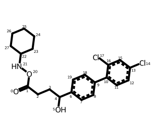 O=C(CCC(O)c1ccc(-c2ccc(Cl)cc2Cl)cc1)ONC1CCCCC1